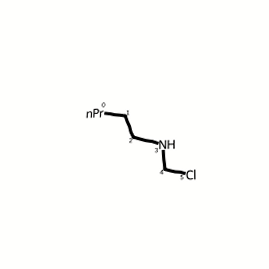 CCCCCNCCl